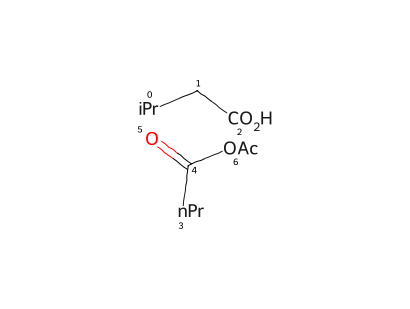 CC(C)CC(=O)O.CCCC(=O)OC(C)=O